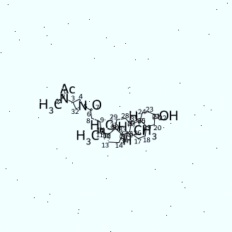 CC(=O)N(C)C1CN(C(=O)CC[C@@H](C)[C@H]2CC[C@H]3[C@@H]4CC=C5C[C@@H](O)CC[C@]5(C)[C@H]4CC[C@]23C)C1